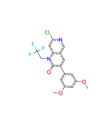 COc1cc(OC)cc(-c2cc3cnc(Cl)cc3n(CC(F)(F)F)c2=O)c1